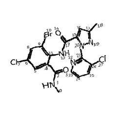 CNC(=O)c1cc(Cl)cc(Br)c1NC(=O)c1cc(C)nn1-c1ncccc1Cl